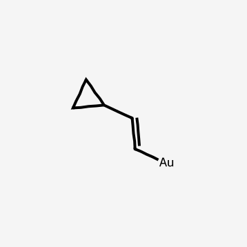 [Au][CH]=CC1CC1